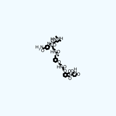 CCN/C(=C\C(C)=N)C(=O)Nc1nc2cc(C(N)=O)ccc2n1CCCNC(=O)N(C)Cc1cccc(OCCNC(=O)COc2cccc3c2C(=O)N(C2CCC(=O)NC2=O)C3=O)c1